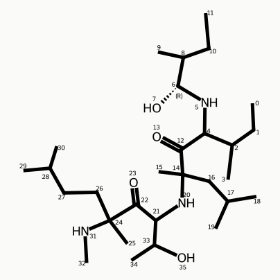 CCC(C)C(N[C@H](O)C(C)CC)C(=O)C(C)(CC(C)C)NC(C(=O)C(C)(CCC(C)C)NC)C(C)O